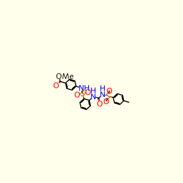 COC(=O)c1ccc(NS(=O)(=O)c2ccccc2NC(=O)NS(=O)(=O)c2ccc(C)cc2)cc1